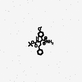 COc1ccc(C(C(CCc2ccccc2)NC(=O)OC(C)(C)C)S(N)(=O)=O)cc1